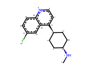 CN[C@H]1CC[C@@H](c2ccnc3ccc(F)cc32)CC1